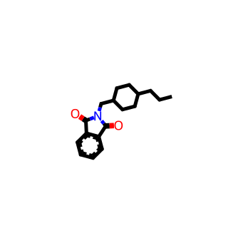 CCCC1CCC(CN2C(=O)c3ccccc3C2=O)CC1